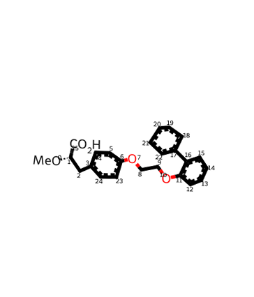 CO[C@@H](Cc1ccc(OCCOc2ccccc2-c2ccccc2)cc1)C(=O)O